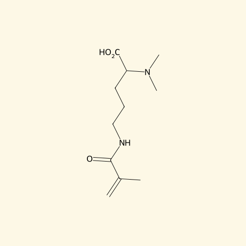 C=C(C)C(=O)NCCCC(C(=O)O)N(C)C